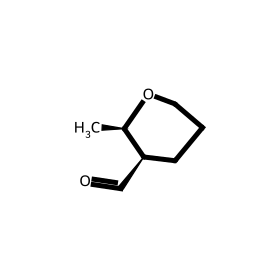 C[C@H]1OCCC[C@H]1C=O